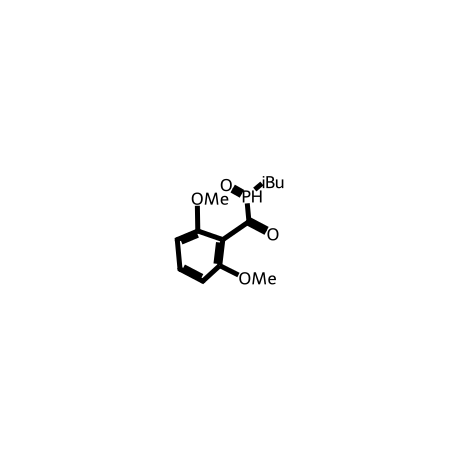 CCC(C)[PH](=O)C(=O)c1c(OC)cccc1OC